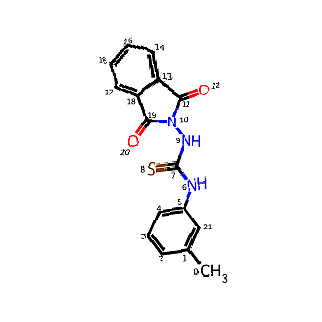 Cc1cccc(NC(=S)NN2C(=O)c3ccccc3C2=O)c1